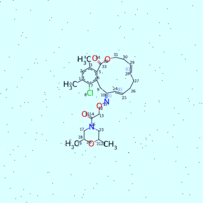 Cc1cc(C)c2c(c1Cl)CC(=N\OCC(=O)N1CC(C)OC(C)C1)/C=C/CC/C=C/CCOC2=O